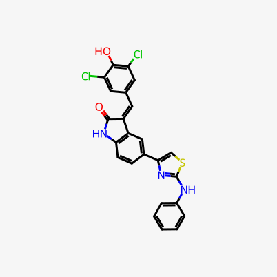 O=C1Nc2ccc(-c3csc(Nc4ccccc4)n3)cc2/C1=C/c1cc(Cl)c(O)c(Cl)c1